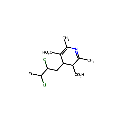 CCC(Cl)C(Cl)CC1C(C(=O)O)=C(C)N=C(C)C1C(=O)O